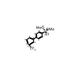 CC[Si](OC)(OC)c1ccc(-c2cccc(C(F)(F)F)c2)cc1